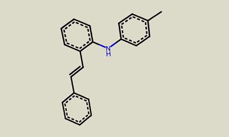 Cc1ccc(Nc2ccccc2C=Cc2ccccc2)cc1